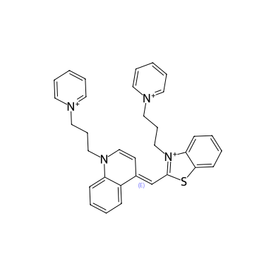 C1=CN(CCC[n+]2ccccc2)c2ccccc2/C1=C/c1sc2ccccc2[n+]1CCC[n+]1ccccc1